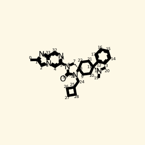 Cc1cn2cc(N3C[C@]4(CC[C@@](c5ccccc5)(N(C)C)CC4)N(CC4CCC4)C3=O)ncc2n1